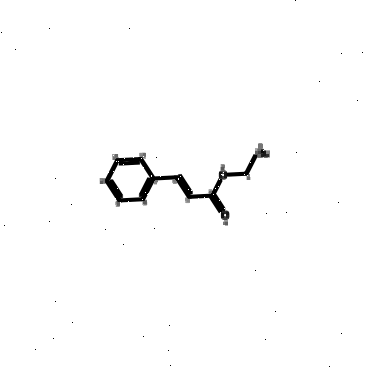 CCC(C)COC(=O)C=Cc1ccccc1